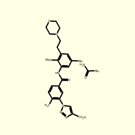 CC(C)(C)C(N)=O.COc1c(CCN2CCOCC2)cc(C(C)(C)C)cc1NC(=O)c1ccc(C)c(-n2cc(C(=O)O)nn2)c1